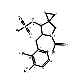 CC(C)C(=O)N1CC2(CC2)C(NS(C)(=O)=O)C1Cc1cccc(C#N)c1F